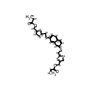 C=CC(=O)OCC1CSC(CSc2ccc3ccc(SCC4SCC(COC(=O)C=C)S4)cc3c2)S1